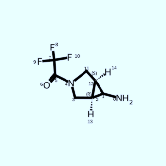 NC1[C@H]2CN(C(=O)C(F)(F)F)C[C@@H]12